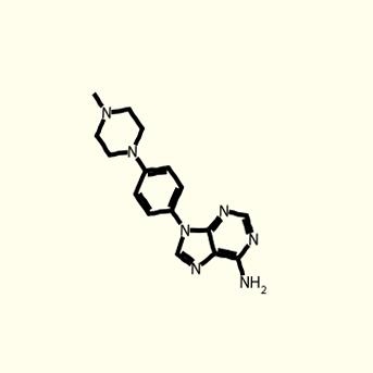 CN1CCN(c2ccc(-n3cnc4c(N)ncnc43)cc2)CC1